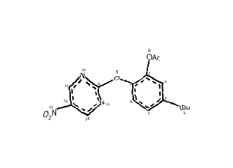 CC(=O)Oc1cc(C(C)(C)C)ccc1Oc1ncc([N+](=O)[O-])cn1